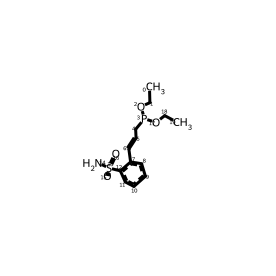 CCOP(CC=Cc1ccccc1S(N)(=O)=O)OCC